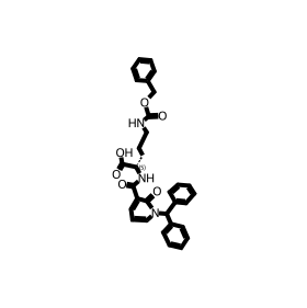 O=C(NCCC[C@H](NC(=O)c1cccn(C(c2ccccc2)c2ccccc2)c1=O)C(=O)O)OCc1ccccc1